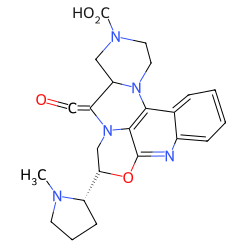 CN1CCC[C@H]1C1CN2C(=C=O)C3CN(C(=O)O)CCN3c3c2c(nc2ccccc32)O1